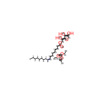 CCCCCCCC/C=C\CCCCCCCC(=O)OC[C@@H](O)[C@H]1OC[C@H](O)[C@H]1O.CCO[SiH](OCC)OCC